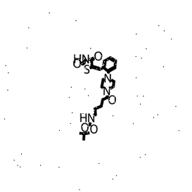 CC(C)(C)OC(=O)NCCCCC(=O)N1CCN(c2ccccc2C=C2SC(=O)NC2=O)CC1